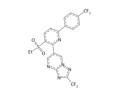 CCS(=O)(=O)c1ccc(-c2ccc(C(F)(F)F)cc2)nc1-c1cnc2nc(C(F)(F)F)nn2c1